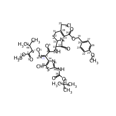 BOC(=O)[C@@H](O/N=C(\C(=O)NC1C(=O)N2C(C(=O)OCc3ccc(OC)cc3)=C(CCl)CSC12)c1nc(NC(=O)OC(C)(C)C)sc1Cl)C(C)C